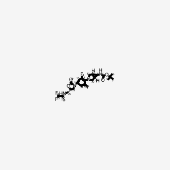 CC(C)(C)OC(=O)NC1[C@H]2CN(c3c(F)cc(N4C[C@H](CNC(=S)C(F)F)OC4=O)cc3F)C[C@@H]12